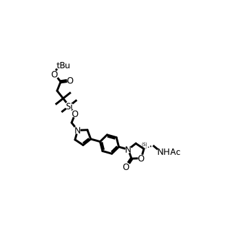 CC(=O)NC[C@H]1CN(c2ccc(C3=CCN(CO[Si](C)(C)C(C)(C)CC(=O)OC(C)(C)C)C3)cc2)C(=O)O1